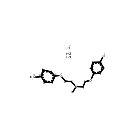 CN(CCOc1ccc(N)cc1)CCOc1ccc(N)cc1.Cl.Cl.Cl